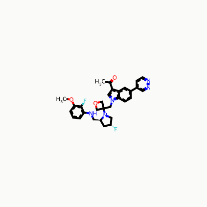 COc1cccc(NC[C@@H]2C[C@@H](F)CN2C2(Cn3cc(C(C)=O)c4cc(-c5ccnnc5)ccc43)COC2)c1F